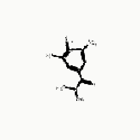 CN(C)C(=O)c1cc([N+](=O)[O-])c(N)c([N+](=O)[O-])c1